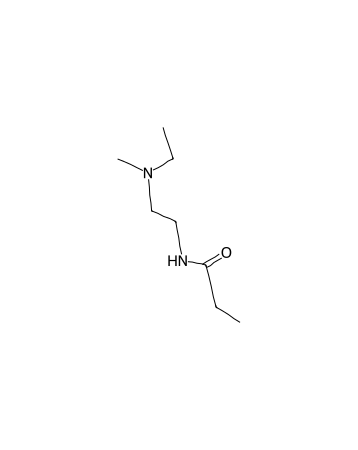 CCC(=O)NCCN(C)CC